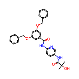 CC(C)(O)C(=O)Nc1ccc(NC(=O)c2cc(OCc3ccccc3)cc(OCc3ccccc3)c2)nc1